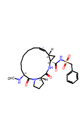 O=CN[C@H]1CCCCC/C=C\[C@@H]2C[C@@]2(C(=O)NS(=O)(=O)Cc2ccccc2)NC(=O)[C@@H]2CCCN2C1=O